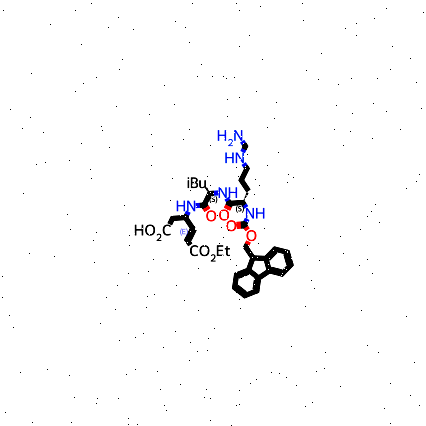 CCOC(=O)/C=C/C(CC(=O)O)NC(=O)[C@@H](NC(=O)[C@H](CCCNCN)NC(=O)OCC1c2ccccc2-c2ccccc21)C(C)CC